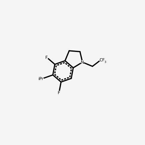 CC(C)c1c(F)cc2c(c1F)CCN2CC(F)(F)F